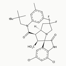 Cc1cc(C)cc(N(CC(C)(C)C(C)(C)C)C(=O)[C@H]2[C@H]3CC(F)(F)CN3[C@]3(C(=O)Nc4c(Cl)cc(Cl)cc43)[C@H]2C(=O)O)c1